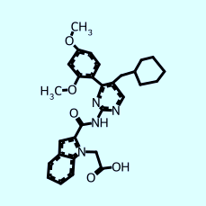 COc1ccc(-c2nc(NC(=O)c3cc4ccccc4n3CC(=O)O)ncc2CC2CCCCC2)c(OC)c1